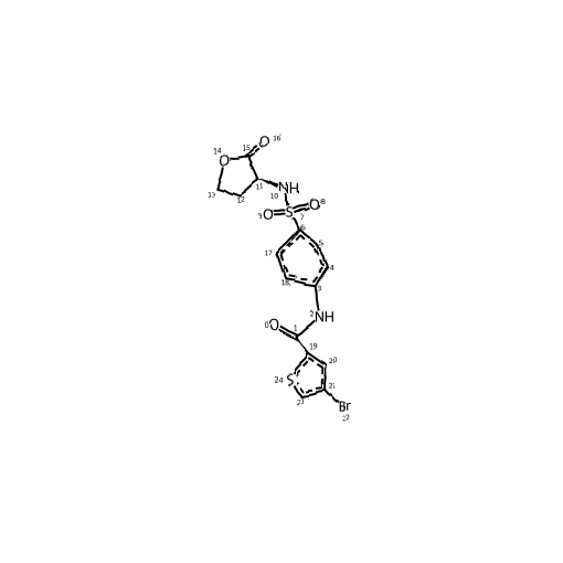 O=C(Nc1ccc(S(=O)(=O)N[C@H]2CCOC2=O)cc1)c1cc(Br)cs1